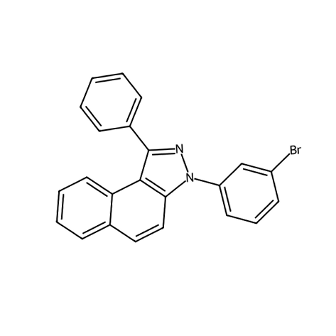 Brc1cccc(-n2nc(-c3ccccc3)c3c4ccccc4ccc32)c1